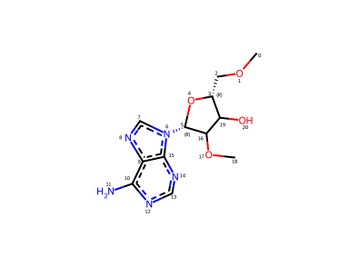 COC[C@H]1O[C@@H](n2cnc3c(N)ncnc32)C(OC)C1O